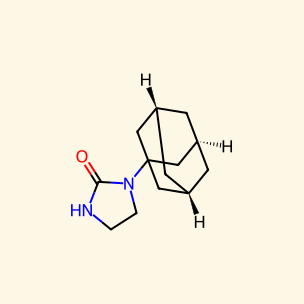 O=C1NCCN1C12C[C@H]3C[C@@H](C1)C[C@@H](C2)C3